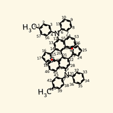 Cc1ccc(N(c2ccccc2)c2cc(-c3cccs3)c(-c3c(-c4cccs4)cc(N(c4ccccc4)c4ccc(C)cc4)c4ccccc34)c3ccccc23)cc1